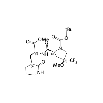 COC(=O)[C@H](C[C@@H]1CCCNC1=O)NC(=O)[C@@H]1C[C@@](OC)(C(F)(F)F)CN1C(=O)OC(C)(C)C